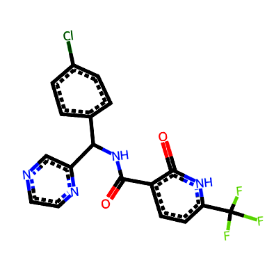 O=C(NC(c1ccc(Cl)cc1)c1cnccn1)c1ccc(C(F)(F)F)[nH]c1=O